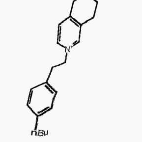 CCCCc1ccc(CC[n+]2ccc3c(c2)CCCC3)cc1